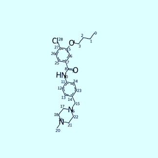 CCCCOc1cc(C(=O)Nc2ccc(CN3CCN(C)CC3)cc2)ccc1Cl